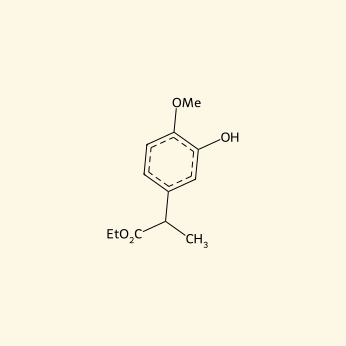 CCOC(=O)C(C)c1ccc(OC)c(O)c1